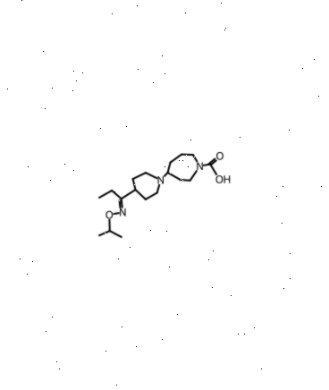 CCC(=NOC(C)C)C1CCN(C2CCCN(C(=O)O)CC2)CC1